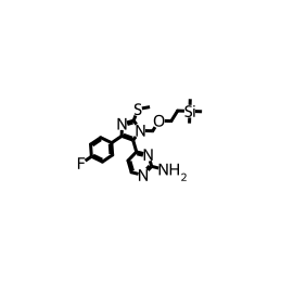 CSc1nc(-c2ccc(F)cc2)c(-c2ccnc(N)n2)n1COCC[Si](C)(C)C